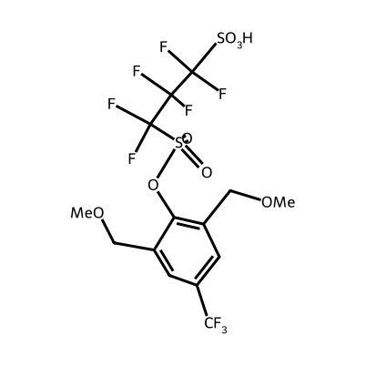 COCc1cc(C(F)(F)F)cc(COC)c1OS(=O)(=O)C(F)(F)C(F)(F)C(F)(F)S(=O)(=O)O